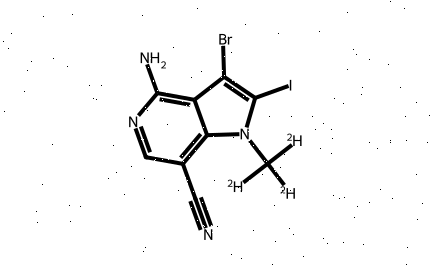 [2H]C([2H])([2H])n1c(I)c(Br)c2c(N)ncc(C#N)c21